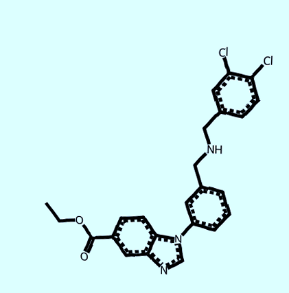 CCOC(=O)c1ccc2c(c1)ncn2-c1cccc(CNCc2ccc(Cl)c(Cl)c2)c1